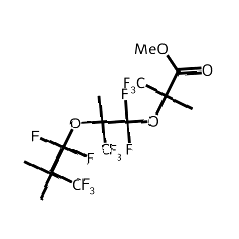 COC(=O)C(C)(OC(F)(F)C(C)(OC(F)(F)C(C)(C)C(F)(F)F)C(F)(F)F)C(F)(F)F